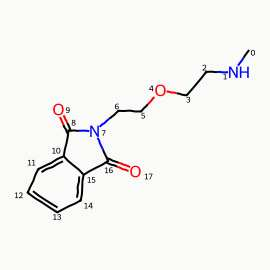 CNCCOCCN1C(=O)c2ccccc2C1=O